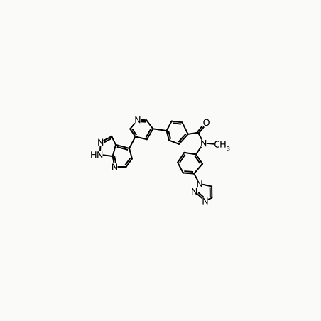 CN(C(=O)c1ccc(-c2cncc(-c3ccnc4[nH]ncc34)c2)cc1)c1cccc(-n2ccnn2)c1